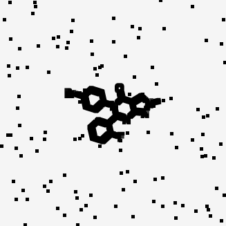 Cn1cc2c(=O)n(-c3ccc(Br)cc3)c(-c3ccccc3F)nc2n1